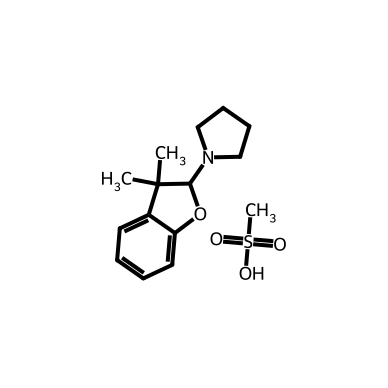 CC1(C)c2ccccc2OC1N1CCCC1.CS(=O)(=O)O